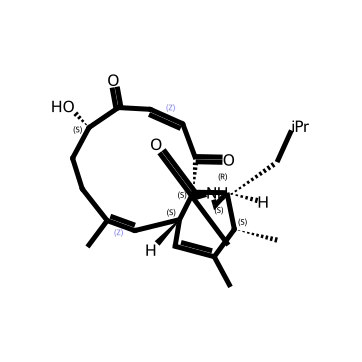 CC1=C[C@@H]2/C=C(/C)CC[C@H](O)C(=O)/C=C\C(=O)[C@]23C(=O)N[C@@H](CC(C)C)[C@@H]3[C@@H]1C